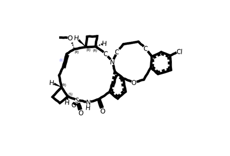 CO[C@H]1/C=C/C[C@H]2CC[C@@H]2S(=O)(=O)NC(=O)c2ccc3c(c2)N(CCCCc2cc(Cl)ccc2CO3)C[C@@H]2CC[C@H]21